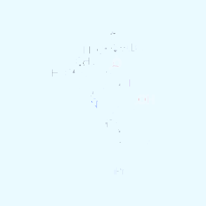 CC(C)Cc1ccc([C@@H](O)c2c(C(C)C)nc3c(c2I)C(O[Si](C)(C)C(C)(C)C)CC(C)(C)C3)cc1